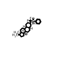 C=C1CC[C@H]2[C@@H]3CC[C@H]4C[C@](O)(C(F)(F)S(=O)(=O)c5ccccc5)CC[C@@H]4[C@H]3CC[C@]12C